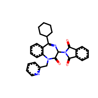 O=C1C(N2C(=O)c3ccccc3C2=O)N=C(C2CCCCC2)c2ccccc2N1Cc1ccccn1